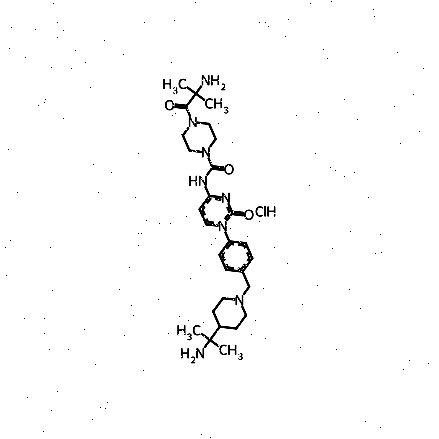 CC(C)(N)C(=O)N1CCN(C(=O)Nc2ccn(-c3ccc(CN4CCC(C(C)(C)N)CC4)cc3)c(=O)n2)CC1.Cl